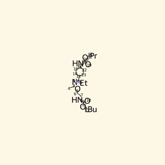 CC/C(=N\C(C)OCCNC(=O)OC(C)(C)C)C1CCC(NC(=O)OC(C)C)CC1